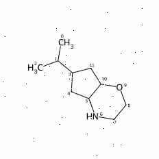 CC(C)C1CC2NCCOC2C1